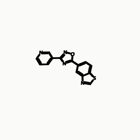 c1cncc(-c2noc(-c3ccc4scnc4c3)n2)c1